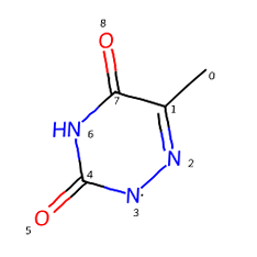 CC1=N[N]C(=O)NC1=O